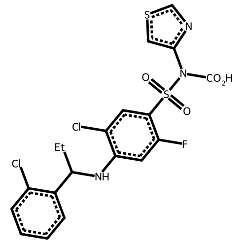 CCC(Nc1cc(F)c(S(=O)(=O)N(C(=O)O)c2cscn2)cc1Cl)c1ccccc1Cl